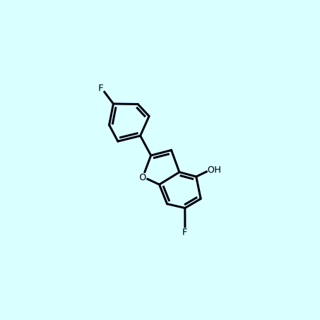 Oc1cc(F)cc2oc(-c3ccc(F)cc3)cc12